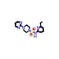 CCc1cccc(NS(=O)(=O)N2CCN(c3ncccn3)CC2)n1